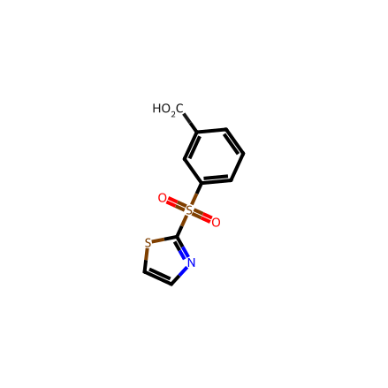 O=C(O)c1cccc(S(=O)(=O)c2nccs2)c1